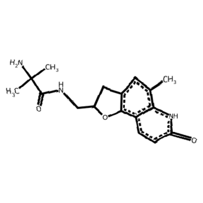 Cc1cc2c(c3ccc(=O)[nH]c13)OC(CNC(=O)C(C)(C)N)C2